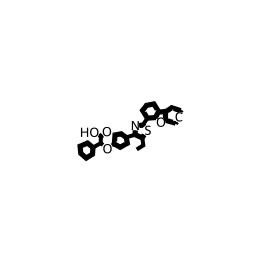 CCc1sc(-c2cccc3c2oc2ccccc23)nc1-c1ccc(OC(C(=O)O)c2ccccc2)cc1